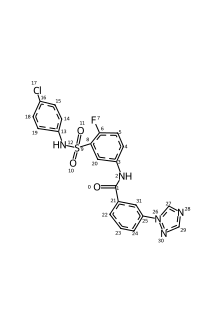 O=C(Nc1ccc(F)c(S(=O)(=O)Nc2ccc(Cl)cc2)c1)c1cccc(-n2cncn2)c1